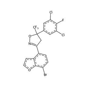 Fc1c(Cl)cc(C2(C(F)(F)F)CC(c3ccc(Br)c4occc34)=NO2)cc1Cl